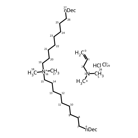 C=CCN(C)C.CCCCCCCCCCCCCCCCCCC[N+](C)(C)CCCCCCCCCCCCCCCCCC.Cl.[Cl-]